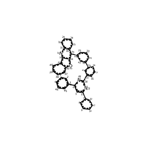 c1ccc(-c2cc(-c3ccccc3)nc(-c3cccc(-c4cccc(-c5c6ccccc6nc6c5oc5ccccc56)c4)c3)n2)cc1